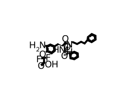 Nc1cc(C[C@H](NS(=O)(=O)c2ccccc2)C(=O)NCCCCc2ccccc2)ccc1OC(F)(F)C(=O)O